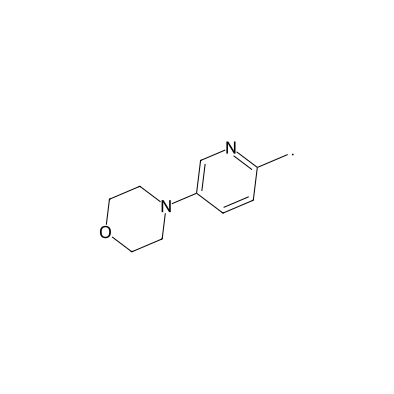 [CH2]c1ccc(N2CCOCC2)cn1